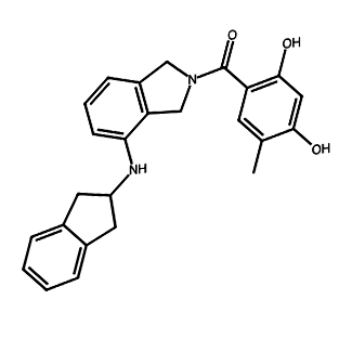 Cc1cc(C(=O)N2Cc3cccc(NC4Cc5ccccc5C4)c3C2)c(O)cc1O